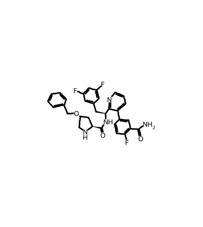 NC(=O)c1cc(-c2cccnc2[C@H](Cc2cc(F)cc(F)c2)NC(=O)[C@@H]2C[C@@H](OCc3ccccc3)CN2)ccc1F